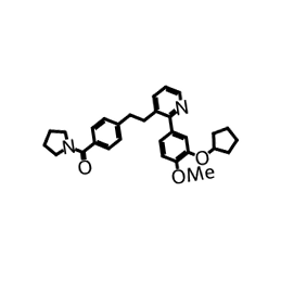 COc1ccc(-c2ncccc2CCc2ccc(C(=O)N3CCCC3)cc2)cc1OC1CCCC1